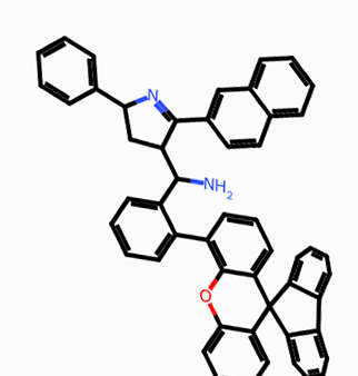 NC(c1ccccc1-c1cccc2c1Oc1ccccc1C21c2ccccc2-c2ccccc21)C1CC(c2ccccc2)N=C1c1ccc2ccccc2c1